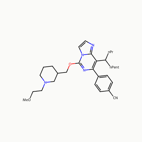 CCCCCC(CCC)c1c(-c2ccc(C#N)cc2)nc(OCC2CCCN(CCOC)C2)n2ccnc12